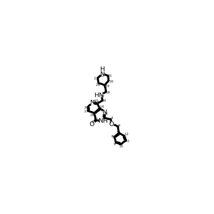 O=c1[nH]c(COCc2ccccc2)nc2c(CNCC3CCNCC3)nccc12